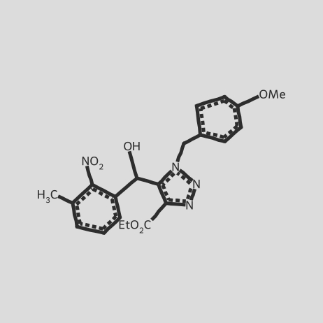 CCOC(=O)c1nnn(Cc2ccc(OC)cc2)c1C(O)c1cccc(C)c1[N+](=O)[O-]